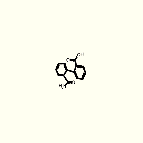 NC(=O)c1ccccc1-c1ccccc1C(=O)O